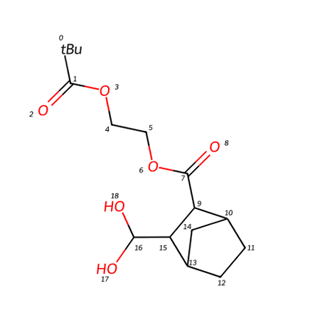 CC(C)(C)C(=O)OCCOC(=O)C1C2CCC(C2)C1C(O)O